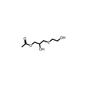 CC(=O)OCC(O)CSCCO